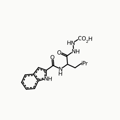 CC(C)CC(NC(=O)c1cc2ccccc2[nH]1)C(=O)NNC(=O)O